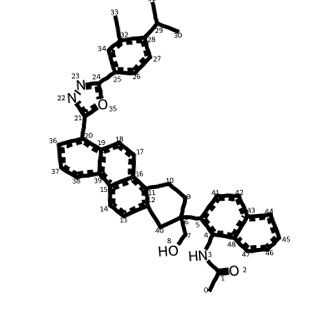 CC(=O)Nc1c(C2(CO)CCc3c(ccc4c3ccc3c(-c5nnc(-c6ccc(C(C)C)c(C)c6)o5)cccc34)C2)ccc2ccccc12